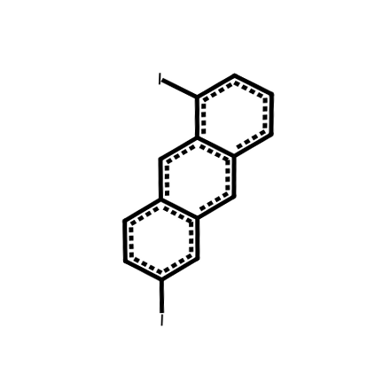 Ic1ccc2cc3c(I)cccc3cc2c1